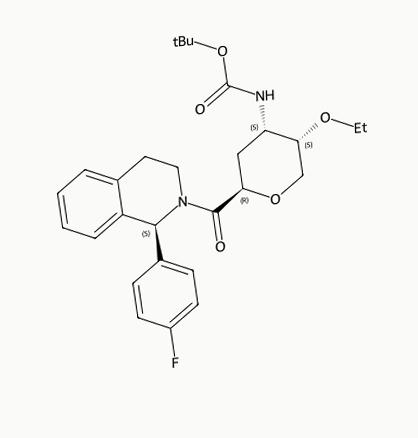 CCO[C@@H]1CO[C@@H](C(=O)N2CCc3ccccc3[C@@H]2c2ccc(F)cc2)C[C@@H]1NC(=O)OC(C)(C)C